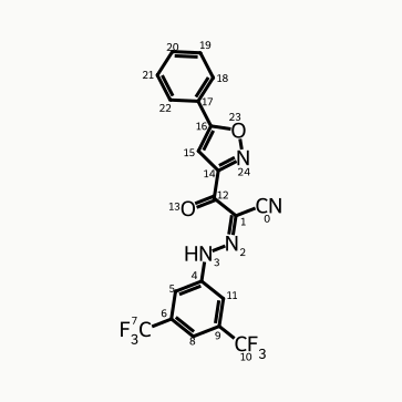 N#CC(=NNc1cc(C(F)(F)F)cc(C(F)(F)F)c1)C(=O)c1cc(-c2ccccc2)on1